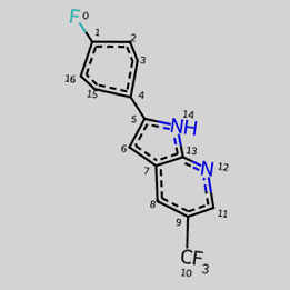 Fc1ccc(-c2cc3cc(C(F)(F)F)cnc3[nH]2)cc1